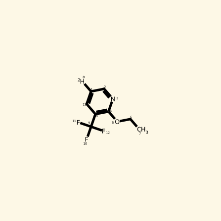 [2H]c1cnc(OCC)c(C(F)(F)F)c1